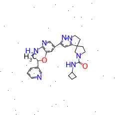 CC(Oc1cc(-c2cc3n(n2)CCC32CCN(C(=O)NC3CCC3)C2)cnc1N)c1cccnc1